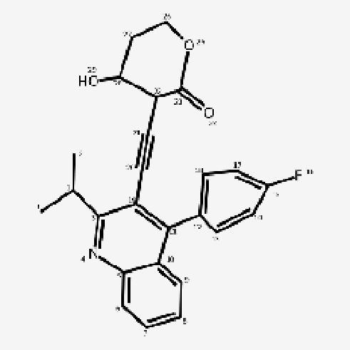 CC(C)c1nc2ccccc2c(-c2ccc(F)cc2)c1C#CC1C(=O)OCCC1O